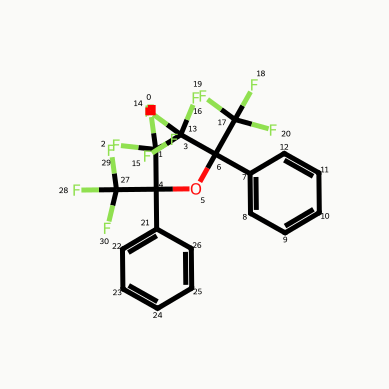 FC(F)(F)C(OC(c1ccccc1)(C(F)(F)F)C(F)(F)F)(c1ccccc1)C(F)(F)F